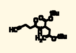 C#CCCC(=O)NC(CC(=C)OC(C)(C)C)C(=O)OC(C)(C)C